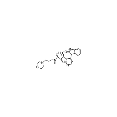 Cc1c(C(=O)NCCCN2CCOCC2)cn2ncnc(C3C(=O)Nc4ccccc43)c12